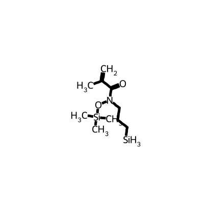 C=C(C)C(=O)N(CCC[SiH3])O[Si](C)(C)C